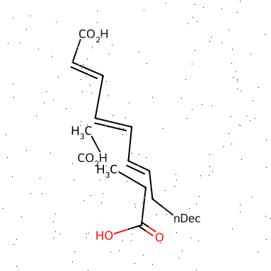 CC(=O)O.CCC(=O)O.CCCCCCCCCCCC=CC=CC=CC(=O)O